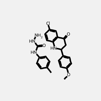 COc1ccc(C2CC(=O)c3cc(Cl)ccc3N2)cc1.Cc1ccc(NC(=O)NN)cc1